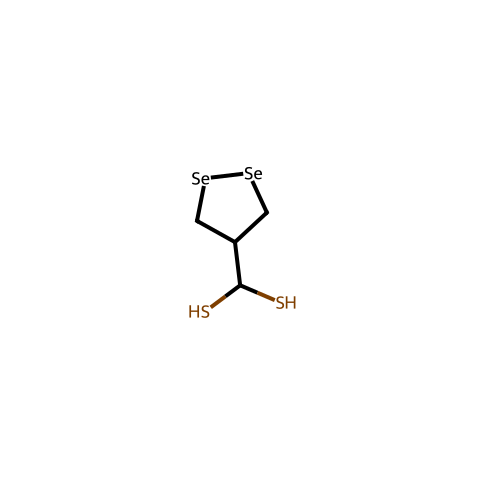 SC(S)C1C[Se][Se]C1